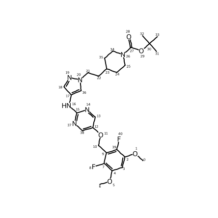 COc1cc(OC)c(F)c(COc2cnc(Nc3cnn(CCC4CCN(C(=O)OC(C)(C)C)CC4)c3)nc2)c1F